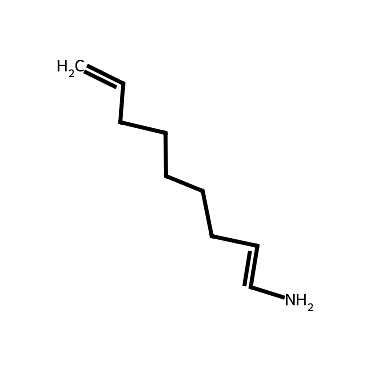 C=CCCCCCC=CN